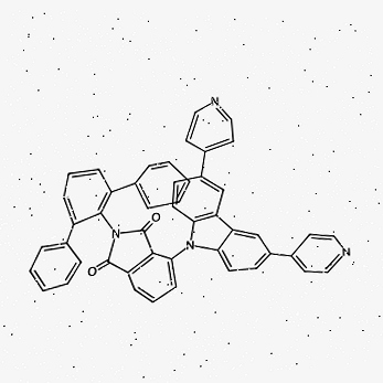 O=C1c2cccc(-n3c4ccc(-c5ccncc5)cc4c4cc(-c5ccncc5)ccc43)c2C(=O)N1c1c(-c2ccccc2)cccc1-c1ccccc1